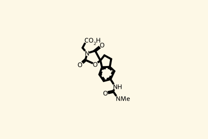 CNC(=O)Nc1ccc2c(c1)CCC21OC(=O)N(CC(=O)O)C1=O